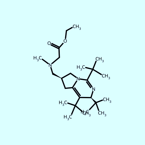 CCOC(=O)CN(C)C[C@@H]1CC2=C(C(C)(C)C)[C@H](C(C)(C)C)N=C(C(C)(C)C)N2C1